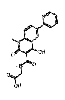 Cn1c(=O)c(C(=O)NCC(=O)O)c(O)c2cc(-c3ccccn3)ccc21